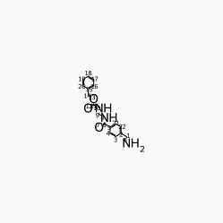 NCc1ccc(C(=O)NCNC(=O)OCc2ccccc2)cc1